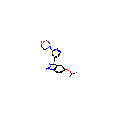 CC(C)Oc1ccc2[nH]nc(-c3cnnc(N4CCOCC4)c3)c2c1